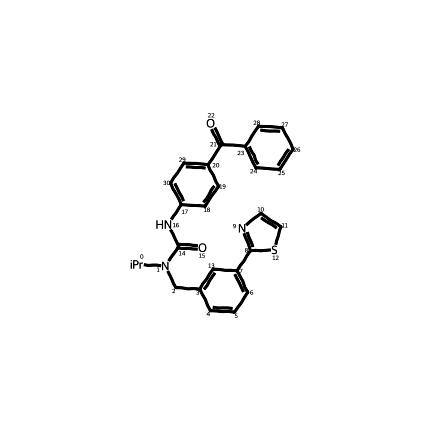 CC(C)N(Cc1cccc(-c2nccs2)c1)C(=O)Nc1ccc(C(=O)c2ccccc2)cc1